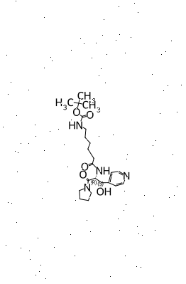 CC(C)(C)OC(=O)NCCCCCC(=O)N[C@@H](C(=O)N1CCCC1)[C@@H](O)c1ccncc1